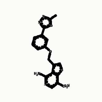 Cc1nnc(-c2cccc(OCc3csc4c(C(=O)O)cnc(N)c34)c2)o1